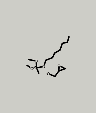 CCCCCCCO[Si](C)(OC)OC.[O]CC1CO1